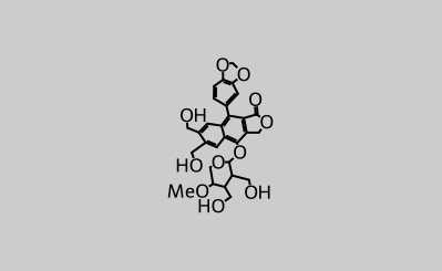 COC1COC(Oc2c3c(c(-c4ccc5c(c4)OCO5)c4cc(CO)c(CO)cc24)C(=O)OC3)C(CO)C1CO